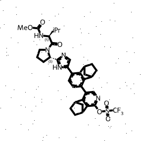 COC(=O)N[C@H](C(=O)N1CCC[C@H]1c1ncc(-c2ccc(-c3cnc(OS(=O)(=O)C(F)(F)F)c4c3C3CCC4C3)c3c2C2CCC3C2)[nH]1)C(C)C